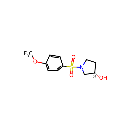 O=S(=O)(c1ccc(OC(F)(F)F)cc1)N1CC[C@H](O)C1